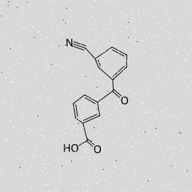 N#Cc1cccc(C(=O)c2cccc(C(=O)O)c2)c1